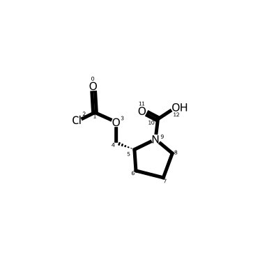 O=C(Cl)OC[C@H]1CCCN1C(=O)O